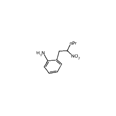 CCCC(Cc1ccccc1N)[N+](=O)[O-]